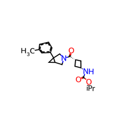 Cc1cccc(C23CC2CN(C(=O)[C@H]2C[C@@H](NC(=O)OC(C)C)C2)C3)c1